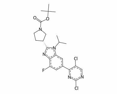 CC(C)n1c([C@@H]2CCN(C(=O)OC(C)(C)C)C2)nc2c(F)cc(-c3nc(Cl)ncc3Cl)cc21